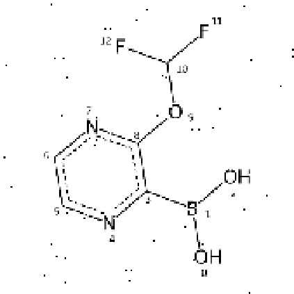 OB(O)c1nccnc1OC(F)F